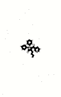 CCCCc1c(C(=O)c2cccnc2)n(-c2ccccc2)n(-c2ccccc2)c1=O